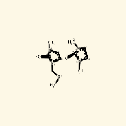 COCn1ccn(C)c1=O.Cn1ccn(C)c1=O